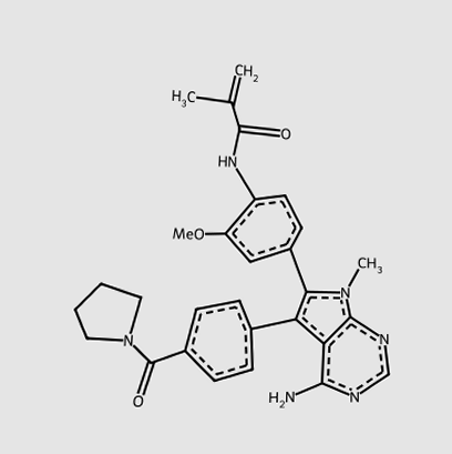 C=C(C)C(=O)Nc1ccc(-c2c(-c3ccc(C(=O)N4CCCC4)cc3)c3c(N)ncnc3n2C)cc1OC